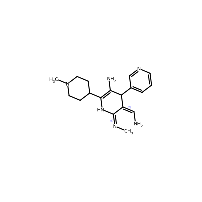 C/N=C1/NC(C2CCN(C)CC2)=C(N)C(c2cccnc2)/C1=C/N